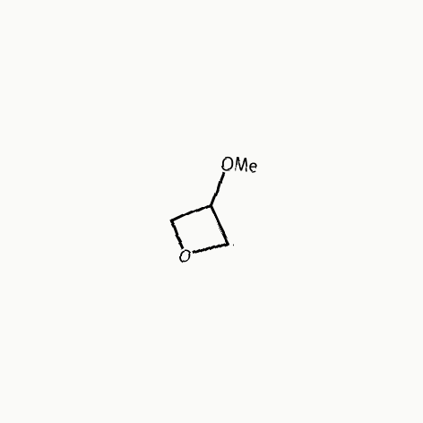 COC1[CH]OC1